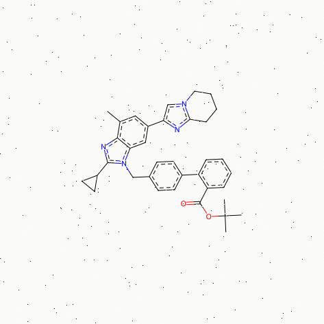 Cc1cc(-c2cn3c(n2)CCCC3)cc2c1nc(C1CC1)n2Cc1ccc(-c2ccccc2C(=O)OC(C)(C)C)cc1